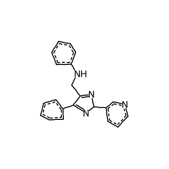 c1ccc(NCC2=NC(c3cccnc3)N=C2c2ccccc2)cc1